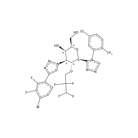 OC[C@H]1O[C@@H](c2nncn2-c2cc(Cl)ccc2C(F)(F)F)[C@H](OCC(F)(F)C(F)F)[C@@H](n2cc(-c3ccc(Br)c(F)c3F)nn2)[C@H]1O